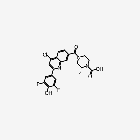 C[C@@H]1CN(C(=O)c2ccc3c(Cl)cc(-c4cc(F)c(O)c(F)c4)nc3c2)CCN1C(=O)O